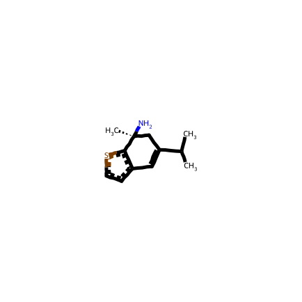 CC(C)C1=Cc2ccsc2[C@@](C)(N)C1